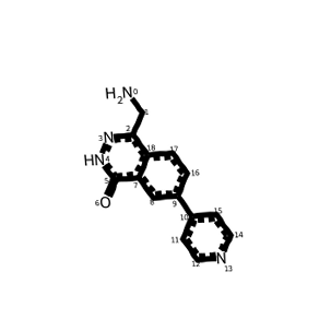 NCc1n[nH]c(=O)c2cc(-c3ccncc3)ccc12